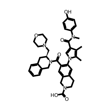 Cc1c(C(=O)N(C)c2ccc(O)cc2)cn(-c2cc3c(cc2C(=O)N2Cc4ccccc4C[C@H]2CN2CCOCC2)CN(C(=O)O)CC3)c1C